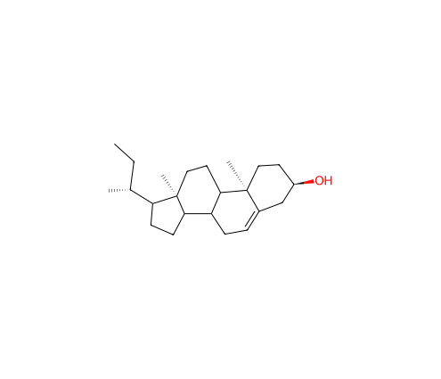 CC[C@@H](C)C1CCC2C3CC=C4C[C@H](O)CC[C@]4(C)C3CC[C@@]21C